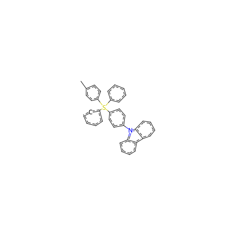 Cc1ccc(S(c2ccccc2)(c2ccccc2)c2ccc(-n3c4ccccc4c4ccccc43)cc2)cc1